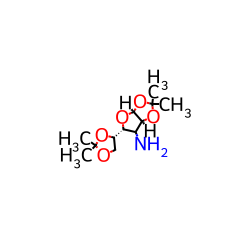 CC1(C)OCC([C@@H]2O[C@@H]3OC(C)(C)O[C@@H]3C2N)O1